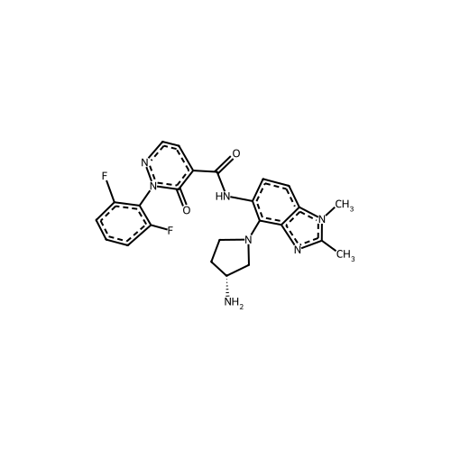 Cc1nc2c(N3CC[C@@H](N)C3)c(NC(=O)c3ccnn(-c4c(F)cccc4F)c3=O)ccc2n1C